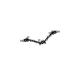 O=C(NCCOCCOCCOCCNS(=O)(=O)c1ccc(O)cc1)c1ccc(C(=O)NCCOCCOCCOCCNS(=O)(=O)c2ccc(O)cc2)cc1